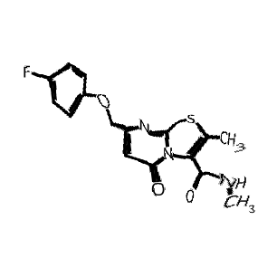 CNC(=O)c1c(C)sc2nc(COc3ccc(F)cc3)cc(=O)n12